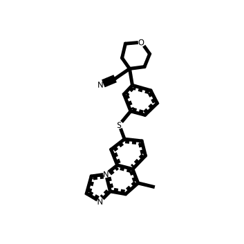 Cc1cc2nccn2c2cc(Sc3cccc(C4(C#N)CCOCC4)c3)ccc12